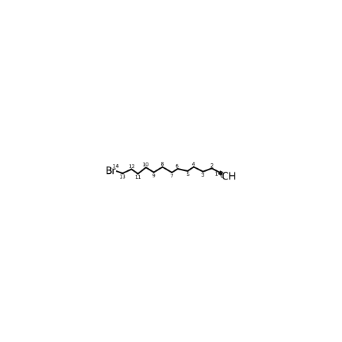 C#CCCCCCCCCCCCCBr